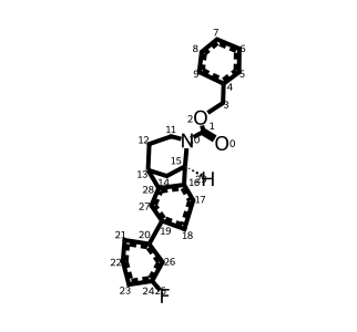 O=C(OCc1ccccc1)N1CCC2C[C@@H]1c1ccc(-c3cccc(F)c3)cc12